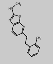 CNc1nc2ccc(CCc3ncccc3C)cc2s1